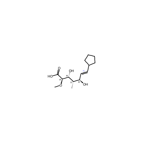 CO[C@@H](C(=O)O)[C@H](O)[C@@H](C)[C@H](O)/C=C/C1CCCC1